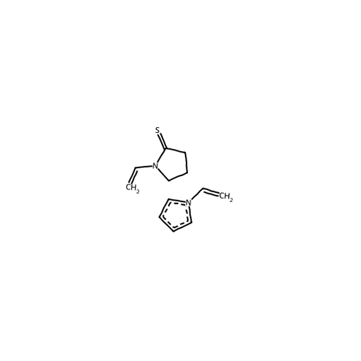 C=CN1CCCC1=S.C=Cn1cccc1